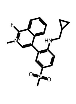 C[n+]1cc(-c2cc(S(C)(=O)=O)ccc2NCC2CC2)c2ccccc2c1F